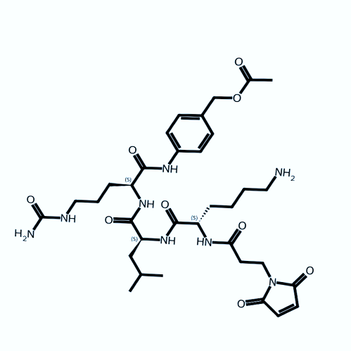 CC(=O)OCc1ccc(NC(=O)[C@H](CCCNC(N)=O)NC(=O)[C@H](CC(C)C)NC(=O)[C@H](CCCCN)NC(=O)CCN2C(=O)C=CC2=O)cc1